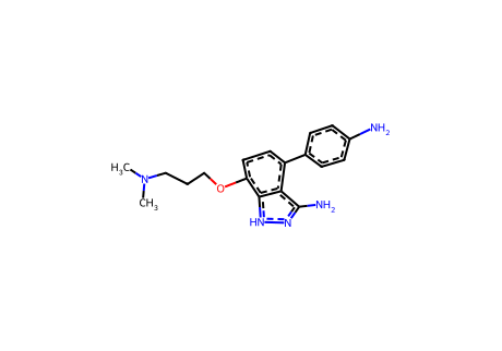 CN(C)CCCOc1ccc(-c2ccc(N)cc2)c2c(N)n[nH]c12